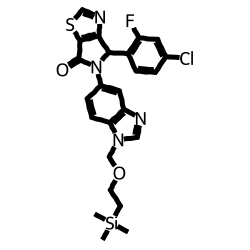 C[Si](C)(C)CCOCn1cnc2cc(N3C(=O)c4scnc4C3c3ccc(Cl)cc3F)ccc21